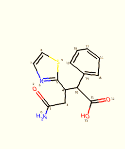 NC(=O)CC(c1nccs1)C(C(=O)O)c1ccccc1